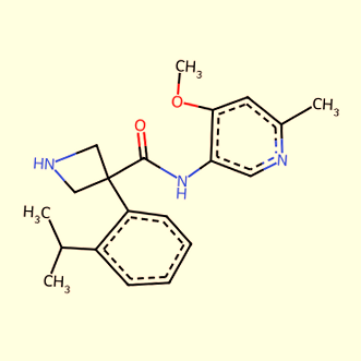 COc1cc(C)ncc1NC(=O)C1(c2ccccc2C(C)C)CNC1